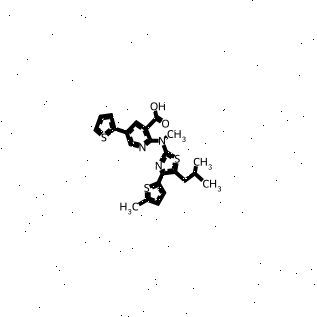 Cc1ccc(-c2nc(N(C)c3ncc(-c4cccs4)cc3C(=O)O)sc2CC(C)C)s1